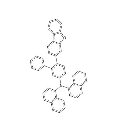 c1ccc(-c2cc(N(c3cccc4ccccc34)c3cccc4ccccc34)ccc2-c2ccc3c(c2)oc2ccccc23)cc1